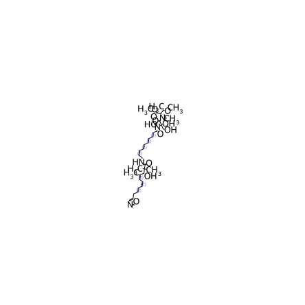 COC(=O)C(C(C)OC)N(C)C(=O)C(O)(CO)N(O)C(=O)/C=C/C=C/C=C/C=C\CNC(=O)C(C)(C)C(O)\C(C)=C/C=C\C=C\Cc1cnco1